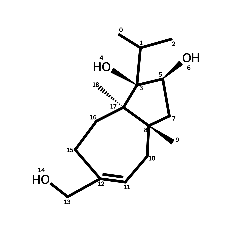 CC(C)[C@]1(O)[C@@H](O)C[C@]2(C)CC=C(CO)CC[C@]21C